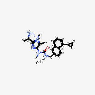 Cc1c(N(C)C(=O)N(C=O)Cc2ccc3c(C4CC4)cccc3c2)nc(C(C)N)n1C